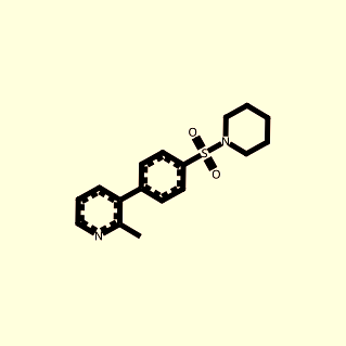 Cc1ncccc1-c1ccc(S(=O)(=O)N2CCCCC2)cc1